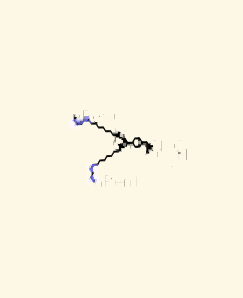 CCCCC/C=C\C/C=C\CCCCCCCC(=O)OCC(OC(=O)CCCCCCC/C=C\C/C=C\CCCCC)C1CCN(CC(C=O)CC(=O)O)CC1